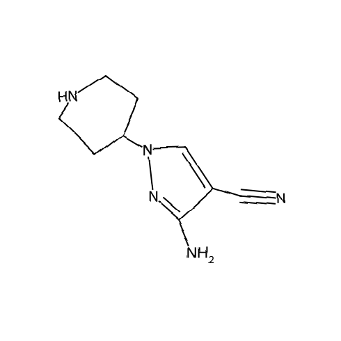 N#Cc1cn(C2CCNCC2)nc1N